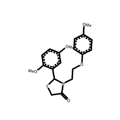 COc1ccc(OCCN2C(=O)CSC2c2cc(OC)ccc2OC)cc1